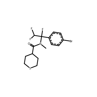 CN(C(=O)C1CCSCC1)C(F)(c1ccc(Br)cc1)C(F)F